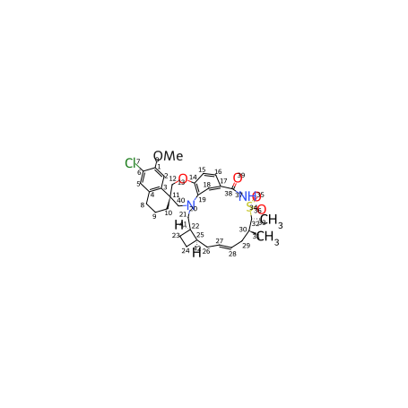 COc1cc2c(cc1Cl)CCC[C@]21COc2ccc3cc2N(C[C@@H]2CC[C@@H]2C/C=C/C[C@H](C)[C@@H](C)S(=O)(=O)NC3=O)C1